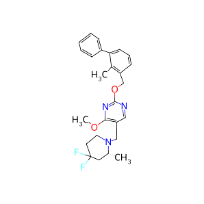 COc1nc(OCc2cccc(-c3ccccc3)c2C)ncc1CN1CCC(F)(F)C[C@H]1C